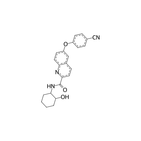 N#Cc1ccc(Oc2ccc3nc(C(=O)NC4CCCCC4O)ccc3c2)cc1